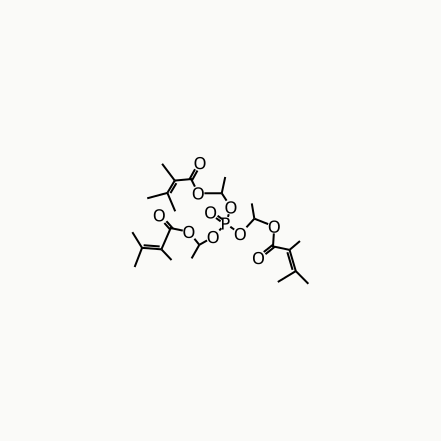 CC(C)=C(C)C(=O)OC(C)OP(=O)(OC(C)OC(=O)C(C)=C(C)C)OC(C)OC(=O)C(C)=C(C)C